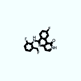 O=c1[nH]ccc2nc(Nc3c(F)cccc3CF)c3ccc(F)cc3c12